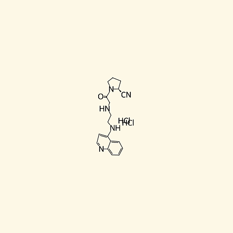 Cl.Cl.N#C[C@@H]1CCCN1C(=O)CNCCNc1ccnc2ccccc12